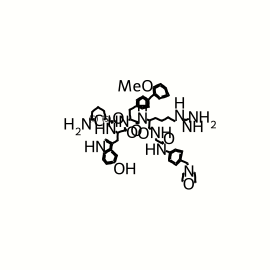 COc1ccccc1-c1ccc(CC(NC(=O)C(Cc2c[nH]c3ccc(O)cc23)NC(=O)[C@H]2CCC[C@H](N)C2)C(=O)NC(CCCCNC(=N)N)C(=O)NCC(=O)Nc2ccc(CN3CCOCC3)cc2)cc1